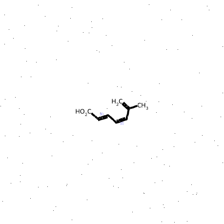 C=C(C)/C=C\C=C\C(=O)O